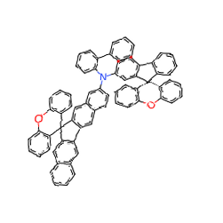 c1ccc(-c2ccccc2N(c2ccc3c(c2)C2(c4ccccc4Oc4ccccc42)c2ccccc2-3)c2ccc3cc4c(cc3c2)C2(c3ccccc3Oc3ccccc32)c2cc3ccccc3cc2-4)cc1